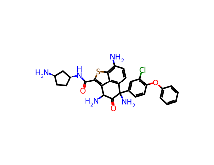 Nc1ccc2c3c(c(C(=O)N[C@H]4CC[C@@H](N)C4)sc13)C(N)C(=O)C2(N)c1ccc(Oc2ccccc2)c(Cl)c1